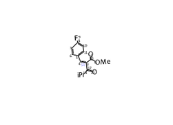 COC(=O)/C(=C\c1ccc(F)cc1)C(=O)C(C)C